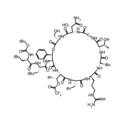 CC[C@H](C)[C@@H]1NC(=O)[C@@H](CCCNC(=N)N)NC(=O)[C@H](CC(C)C)NC(=O)[C@H]([C@H](OC(=O)C(F)(F)F)C(C)C)NC(=O)[C@@H](NC(=O)[C@H](CC(C)(C)C)NC(=O)[C@@H](CC(C)(C)C)NC(=O)OC(C)(C)C)[C@@H](c2ccccc2)OC(=O)[C@H](CO)NC(=O)[C@H]([C@H](O)C(N)=O)NC(=O)CNC(=O)[C@H]([C@H](C)O)NC1=O